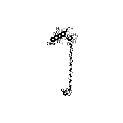 COc1cccc2c1C(=O)c1c(O)c3c(c(O)c1C2=O)C[C@@](O)(C(=O)CO)C[C@@H]3OC1CC(NC(=O)CCOCCOCCOCCOCCOCCOCCOCCC(=O)ON2C(=O)CCC2=O)C(O)C(C)O1